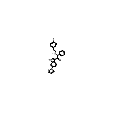 O=C(c1c[nH]c2cc(-n3cccn3)ccc12)[C@H](NCCc1ccc(F)cc1)c1ccccc1